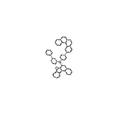 c1ccc(-c2cccc(N(c3ccc(-c4ccc5ccc6ccc7ccccc7c6c5c4)cc3)c3cc4ccccc4c4c3oc3ccccc34)c2)cc1